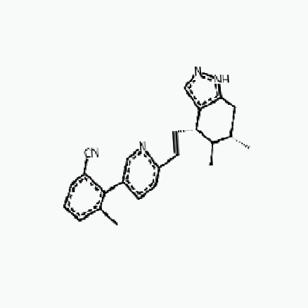 Cc1cccc(C#N)c1-c1ccc(/C=C/[C@@H]2c3cn[nH]c3C[C@H](C)[C@H]2C)nc1